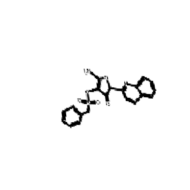 NC1=C(OS(=O)(=O)Cc2ccccc2)C(=O)C(c2ccc3ccccc3n2)O1